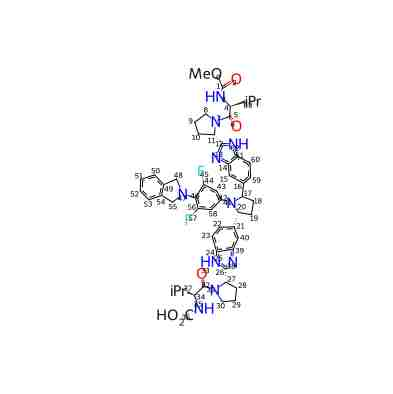 COC(=O)N[C@H](C(=O)N1CCC[C@H]1c1nc2cc(C3CC[C@H](c4ccc5[nH]c([C@@H]6CCCN6C(=O)[C@@H](NC(=O)O)C(C)C)nc5c4)N3c3cc(F)c(N4Cc5ccccc5C4)c(F)c3)ccc2[nH]1)C(C)C